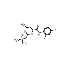 CC(C)(C)OC(=O)NC(CCO)C(=O)Nc1ccc(I)cc1F